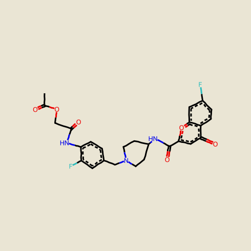 CC(=O)OCC(=O)Nc1ccc(CN2CCC(NC(=O)c3cc(=O)c4ccc(F)cc4o3)CC2)cc1F